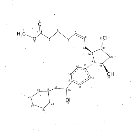 COC(=O)CCC/C=C\C[C@@H]1[C@@H](c2ccc(C(O)CC3CCCCC3)cc2)[C@H](O)C[C@H]1Cl